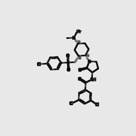 CC(C)N(C)[C@@H]1CC[C@H](N2CCC(NC(=O)c3cc(Cl)cc(Cl)c3)C2=O)[C@H](CS(=O)(=O)c2ccc(Cl)cc2)C1